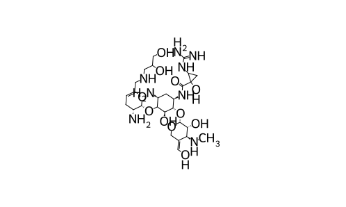 CN[C@H]1/C(=C\O)CO[C@H](O[C@H]2[C@H](NC(=O)C3(O)CC3NC(=N)N)C[C@H](N)C(O[C@H]3OC(CNCC(O)CO)=CC[C@H]3N)[C@@H]2O)[C@@H]1O